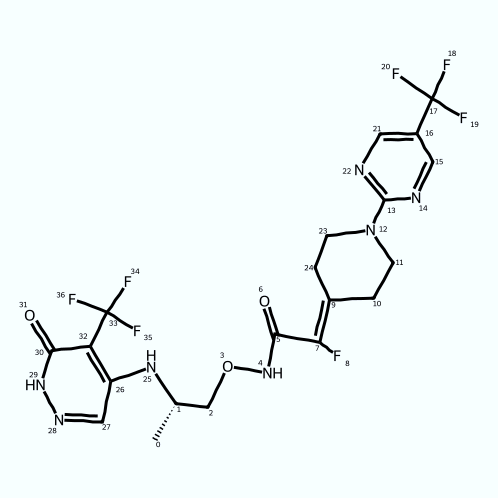 C[C@@H](CONC(=O)C(F)=C1CCN(c2ncc(C(F)(F)F)cn2)CC1)Nc1cn[nH]c(=O)c1C(F)(F)F